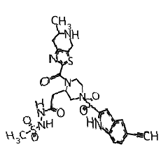 C#Cc1ccc2[nH]c(S(=O)(=O)N3CCN(C(=O)c4nc5c(s4)CNC(C)C5)C(CC(=O)NNS(C)(=O)=O)C3)cc2c1